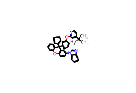 CC(C)(C)c1ccnc(Oc2cccc(C3(c4ccccc4)c4ccccc4Oc4ccc(-n5cnc6ccccc65)cc43)c2)c1